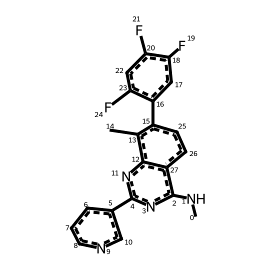 CNc1nc(-c2cccnc2)nc2c(C)c(-c3cc(F)c(F)cc3F)ccc12